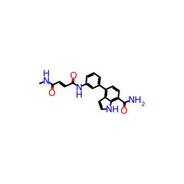 CNC(=O)/C=C/C(=O)Nc1cccc(-c2ccc(C(N)=O)c3[nH]ccc23)c1